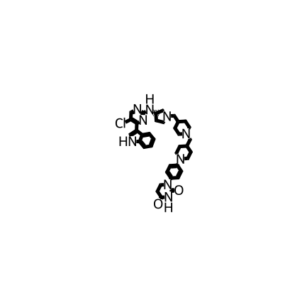 O=C1CCN(c2ccc(N3CCC(CN4CCC(CN5CC[C@@H](Nc6ncc(Cl)c(-c7c[nH]c8ccccc78)n6)C5)CC4)CC3)cc2)C(=O)N1